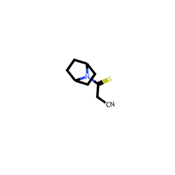 N#CCC(=S)N1C2CCC1CC2